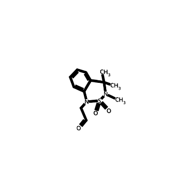 CN1C(C)(C)c2ccccc2N(CC=O)S1(=O)=O